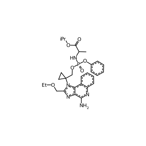 CCOCc1nc2c(N)nc3ccccc3c2n1C1(COP(=O)(NC(C)C(=O)OC(C)C)Oc2ccccc2)CC1